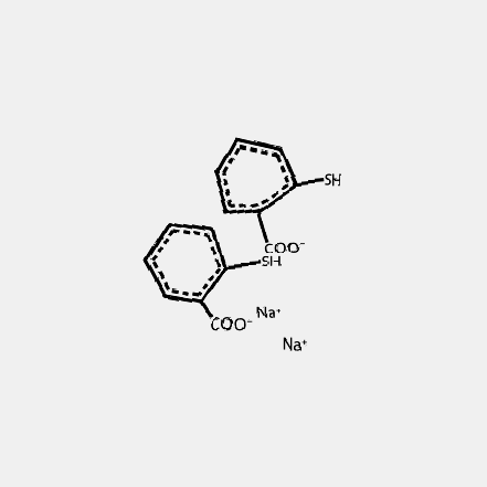 O=C([O-])c1ccccc1S.O=C([O-])c1ccccc1S.[Na+].[Na+]